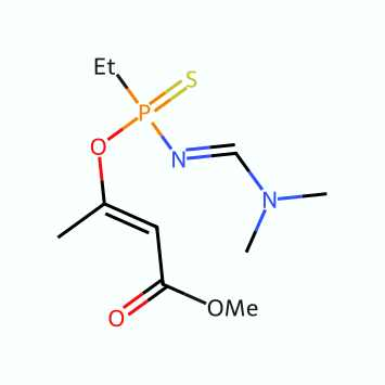 CCP(=S)(N=CN(C)C)OC(C)=CC(=O)OC